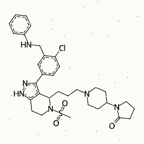 CS(=O)(=O)N1CCc2[nH]nc(-c3ccc(Cl)c(CNc4ccccc4)c3)c2C1CCCN1CCC(N2CCCC2=O)CC1